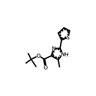 Cc1[nH]c(-c2cccs2)nc1C(=O)OC(C)(C)C